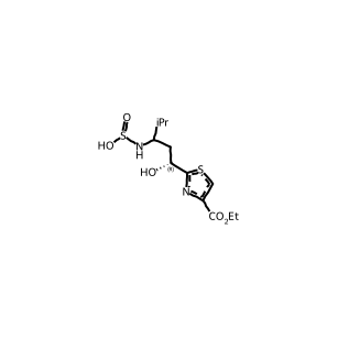 CCOC(=O)c1csc([C@H](O)CC(NS(=O)O)C(C)C)n1